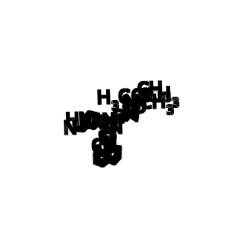 CN(CC1(COc2nc3c(c(N4CCNC(CC#N)C4)n2)CCN(c2cccc4cccc(Cl)c24)C3)CC1)C(=O)OC(C)(C)C